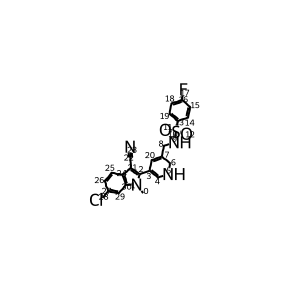 Cn1c(C2=CNCC(CNS(=O)(=O)c3ccc(F)cc3)=C2)c(C#N)c2ccc(Cl)cc21